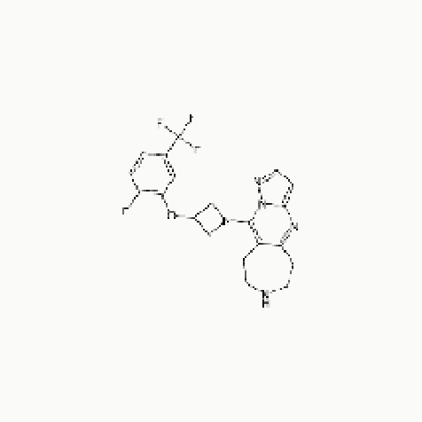 Fc1ccc(C(F)(F)F)cc1OC1CN(c2c3c(nc4ccnn24)CCNCC3)C1